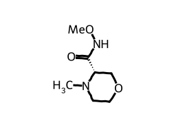 CONC(=O)[C@@H]1COCCN1C